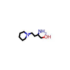 NC(CO)CCN1CCCCC1